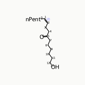 CCCCC/C=C\CCC(=O)CCCCCCO